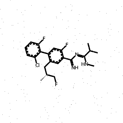 CN/C(=N\C(=N)c1cc(C[C@@H](C)CF)c(-c2c(F)cccc2Cl)cc1F)C(C)C